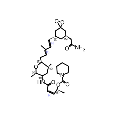 CC(/C=C/[C@H]1C[C@H](CC(N)=O)CC2(C1)OO2)=C\C[C@@H]1O[C@H](C)[C@H](NC(=O)/C=C\[C@H](C)OC(=O)N2CCCCC2)C[C@@H]1C